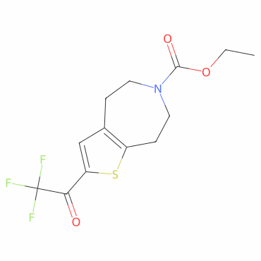 CCOC(=O)N1CCc2cc(C(=O)C(F)(F)F)sc2CC1